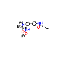 C=CCCCC(=O)Nc1ccc(-c2ccc3c(c2)[C@@H](NC(=O)OC(C)C)[C@H](C)[C@H](CC)N3C(C)=O)cc1